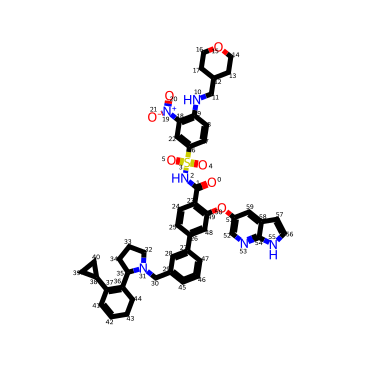 O=C(NS(=O)(=O)c1ccc(NCC2CCOCC2)c([N+](=O)[O-])c1)c1ccc(C2=CC(CN3CCCC3C3=C(C4CC4)C=CCC3)=C=C=C2)cc1Oc1cnc2[nH]ccc2c1